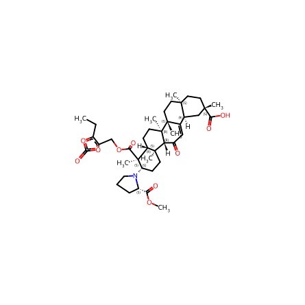 CCc1oc(=O)oc1COC(=O)[C@]1(C)[C@@H](N2CCC[C@H]2C(=O)OC)CC[C@@]2(C)[C@H]1CC[C@]1(C)[C@@H]2C(=O)C=C2[C@@H]3C[C@@](C)(C(=O)O)CC[C@]3(C)CC[C@]21C